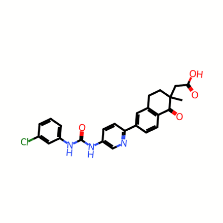 CC1(CC(=O)O)CCc2cc(-c3ccc(NC(=O)Nc4cccc(Cl)c4)cn3)ccc2C1=O